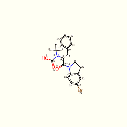 CC(C)(C)N(C(=O)O)[C@H](Cc1ccccc1)C(=O)N1CCc2cc(Br)ccc21